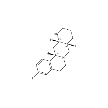 Fc1ccc2c(c1)CCN1C[C@H]3CCCN[C@H]3C[C@@H]21